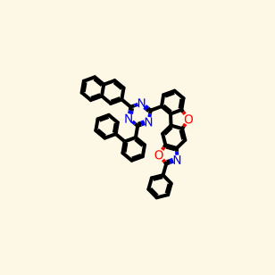 c1ccc(-c2nc3cc4oc5cccc(-c6nc(-c7ccc8ccccc8c7)nc(-c7ccccc7-c7ccccc7)n6)c5c4cc3o2)cc1